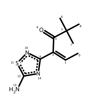 C/C=C(\C(=O)C(C)(C)C)c1nsc(N)n1